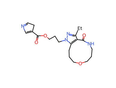 CCc1nn(CCCOC(=O)C2=CN=CC2)c2c1C(=O)NCCCOCCC2